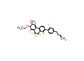 C=CCCc1ccc(-c2ccc3c(c2F)C(F)(F)C(F)(F)C2=C(F)C(OCC)C(C)C=C23)c(F)c1